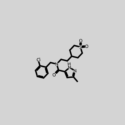 Cc1cc(C(=O)N(CCC2CCS(=O)(=O)CC2)Cc2ccccc2Cl)[nH]n1